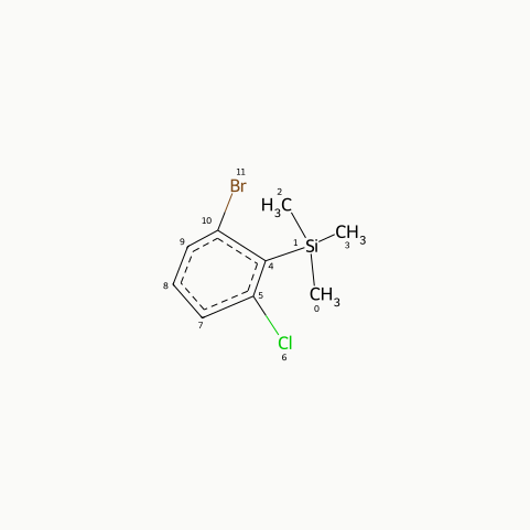 C[Si](C)(C)c1c(Cl)cccc1Br